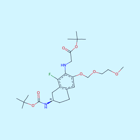 COCCOCOc1cc2c(c(F)c1NCC(=O)OC(C)(C)C)C[C@H](NC(=O)OC(C)(C)C)CC2